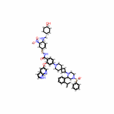 CC(C)c1ccccc1C1CN([S+]([O-])c2ccccc2)CCN1C1CC2(CCN(c3ccc(C(=O)NSC4C=CC(NC[C@H]5CC[C@H](O)CC5)C([N+](=O)[O-])C4)c(Oc4cnc5[nH]ccc5c4)c3)CC2)C1